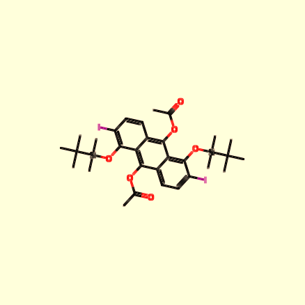 CC(=O)Oc1c2ccc(I)c(O[Si](C)(C)C(C)(C)C)c2c(OC(C)=O)c2ccc(I)c(O[Si](C)(C)C(C)(C)C)c12